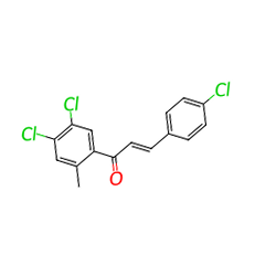 Cc1cc(Cl)c(Cl)cc1C(=O)/C=C/c1ccc(Cl)cc1